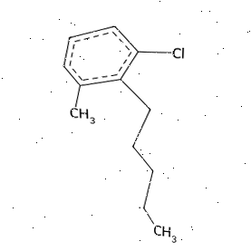 C[CH]CCCc1c(C)cccc1Cl